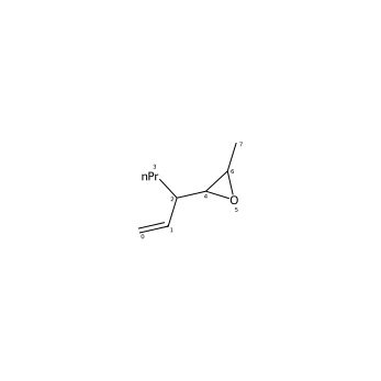 C=CC(CCC)C1OC1C